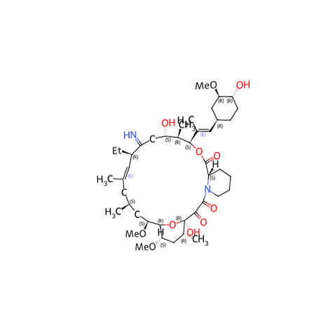 CC[C@@H]1/C=C(\C)C[C@H](C)C[C@H](OC)[C@H]2O[C@@](O)(C(=O)C(=O)N3CCCC[C@H]3C(=O)O[C@H](/C(C)=C/[C@@H]3CC[C@@H](O)[C@H](OC)C3)[C@H](C)[C@@H](O)CC1=N)[C@H](C)C[C@@H]2OC